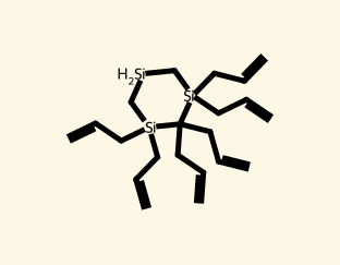 C=CCC1(CC=C)[Si](CC=C)(CC=C)C[SiH2]C[Si]1(CC=C)CC=C